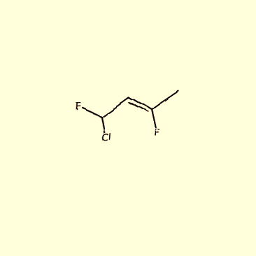 CC(F)=CC(F)Cl